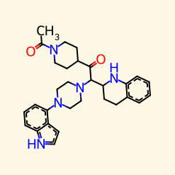 CC(=O)N1CCC(C(=O)C(C2CCc3ccccc3N2)N2CCN(c3cccc4[nH]ccc34)CC2)CC1